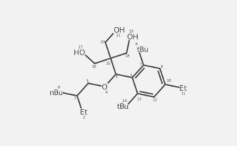 CCCCC(CC)COC(c1c(C(C)(C)C)cc(CC)cc1C(C)(C)C)C(CO)(CO)CO